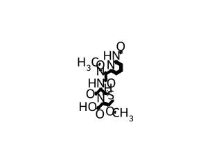 CON=C(C(=O)NC1C(=O)N2C(C(=O)O)=C(OC)CS[C@@H]12)c1cccc(NC=O)n1